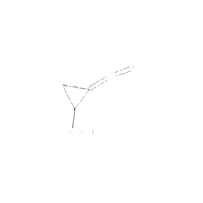 O=C=C1CC1C(=O)O